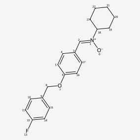 [O-][N+](=Cc1ccc(OCc2ccc(F)cc2)cc1)C1CCCCC1